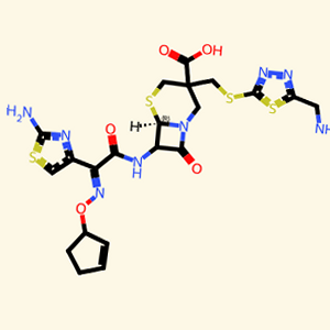 NCc1nnc(SCC2(C(=O)O)CS[C@@H]3C(NC(=O)C(=NOC4C=CCC4)c4csc(N)n4)C(=O)N3C2)s1